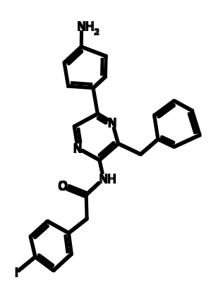 Nc1ccc(-c2cnc(NC(=O)Cc3ccc(I)cc3)c(Cc3ccccc3)n2)cc1